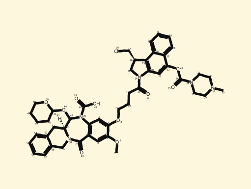 COc1cc2c(cc1OCCCC(=O)N1C[C@@H](CCl)c3c1cc(OC(=O)N1CCN(C)CC1)c1ccccc31)N(C(=O)O)C(OC1CCCCO1)[C@@H]1Cc3ccccc3CN1C2=O